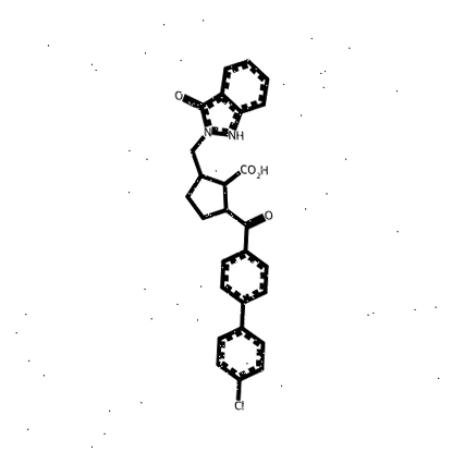 O=C(c1ccc(-c2ccc(Cl)cc2)cc1)C1CCC(Cn2[nH]c3ccccc3c2=O)C1C(=O)O